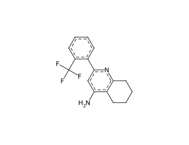 Nc1cc(-c2ccccc2C(F)(F)F)nc2c1CCCC2